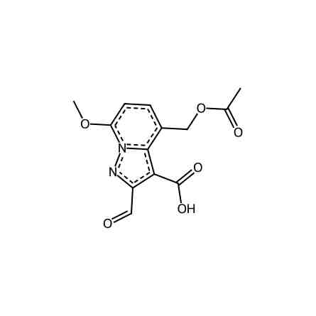 COc1ccc(COC(C)=O)c2c(C(=O)O)c(C=O)nn12